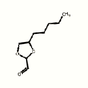 CCCCCC1COC([C]=O)O1